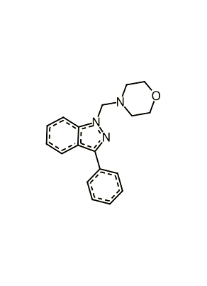 c1ccc(-c2nn(CN3CCOCC3)c3ccccc23)cc1